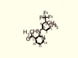 C/C=C\C(=C/C(C)C(F)(F)F)Nc1ncccc1C(C)=O